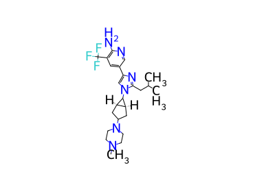 CC(C)Cc1nc(-c2cnc(N)c(C(F)(F)F)c2)cn1C1[C@H]2CC(N3CCN(C)CC3)C[C@@H]12